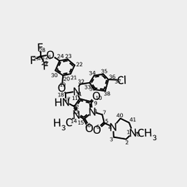 CN1CCN(C(=O)Cn2c(=O)c3c(n(C)c2=O)NC(Oc2cccc(OC(F)(F)F)c2)N3Cc2ccc(Cl)cc2)CC1